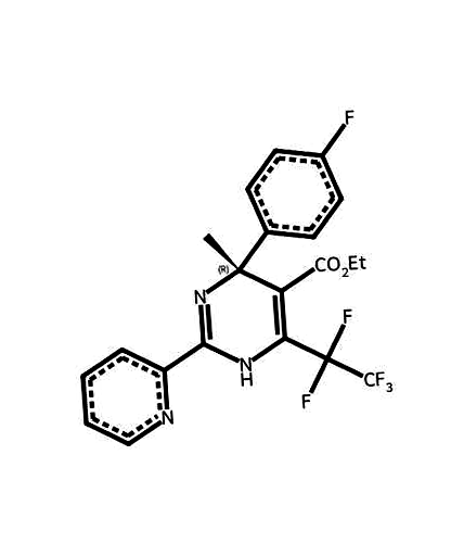 CCOC(=O)C1=C(C(F)(F)C(F)(F)F)NC(c2ccccn2)=N[C@]1(C)c1ccc(F)cc1